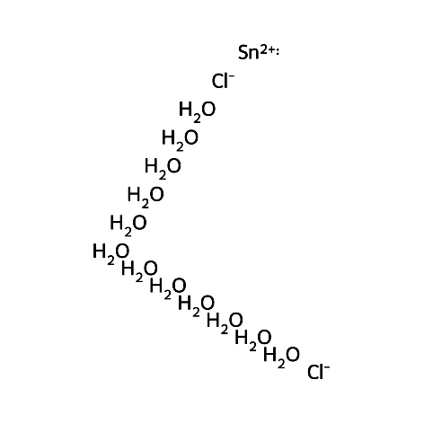 O.O.O.O.O.O.O.O.O.O.O.O.[Cl-].[Cl-].[Sn+2]